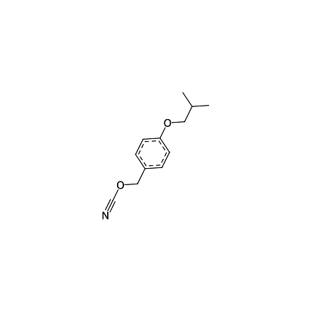 CC(C)COc1ccc(COC#N)cc1